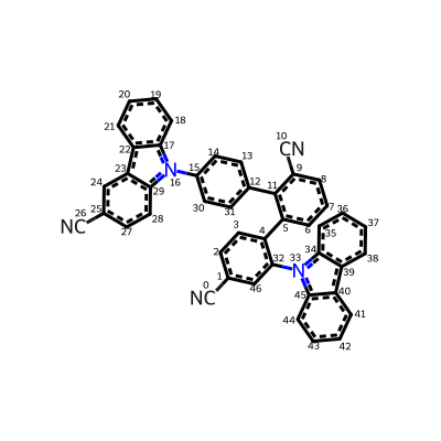 N#Cc1ccc(-c2cccc(C#N)c2-c2ccc(-n3c4ccccc4c4cc(C#N)ccc43)cc2)c(-n2c3ccccc3c3ccccc32)c1